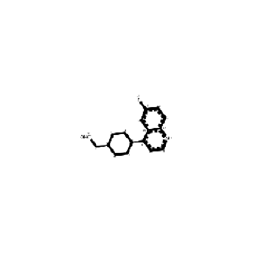 O=CC[C@H]1CC[C@@H](c2ccnc3ccc(F)cc32)CC1